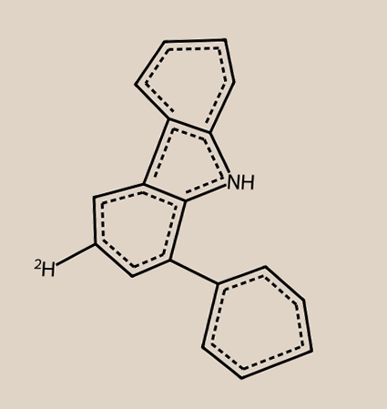 [2H]c1cc(-c2ccccc2)c2[nH]c3ccccc3c2c1